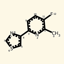 Cc1nc(-c2cs[c]n2)ccc1F